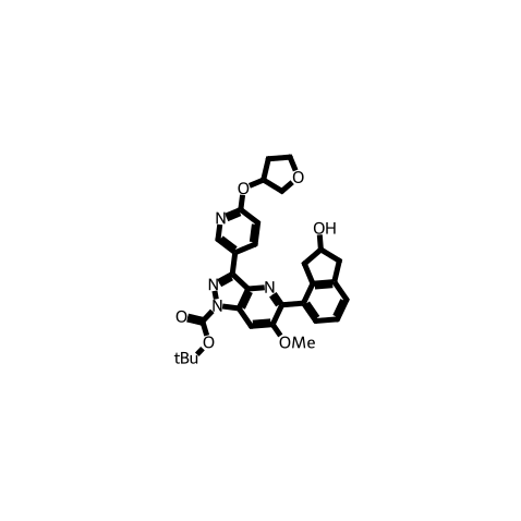 COc1cc2c(nc1-c1cccc3c1CC(O)C3)c(-c1ccc(OC3CCOC3)nc1)nn2C(=O)OC(C)(C)C